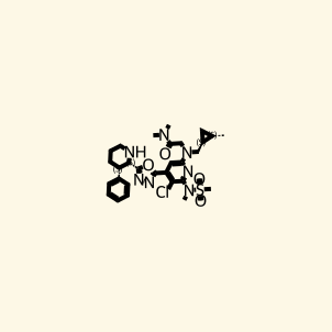 C[C@H]1C[C@@H]1CN(CC(=O)N(C)C)c1cc(-c2nnc([C@H]3NCCC[C@H]3c3ccccc3)o2)c(Cl)c(N(C)S(C)(=O)=O)n1